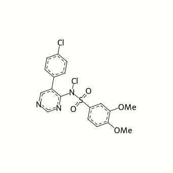 COc1ccc(S(=O)(=O)N(Cl)c2ncncc2-c2ccc(Cl)cc2)cc1OC